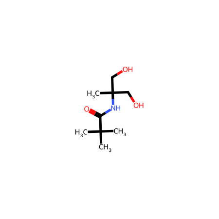 CC(CO)(CO)NC(=O)C(C)(C)C